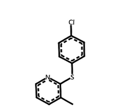 Cc1cccnc1Sc1ccc(Cl)cc1